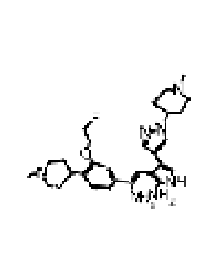 CN1CCC(c2ccc(/C(N)=C/c3c(-c4cnn(C5CCN(C)CC5)c4)c[nH]c3N)cc2OCCF)CC1